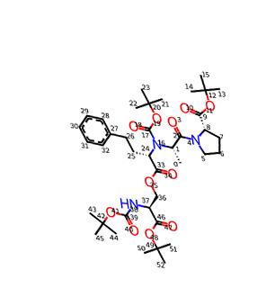 C[C@@H](C(=O)N1CCC[C@H]1C(=O)OC(C)(C)C)N(C(=O)OC(C)(C)C)[C@@H](CCc1ccccc1)C(=O)OC[C@H](NC(=O)OC(C)(C)C)C(=O)OC(C)(C)C